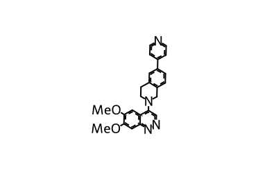 COc1cc2nncc(N3CCc4cc(-c5ccncc5)ccc4C3)c2cc1OC